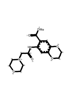 COC(=O)c1cc2c(cc1NC(=O)CN1CCOCC1)OCCO2